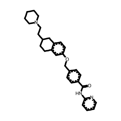 O=C(Nc1ccccn1)c1ccc(COc2ccc3c(c2)CCC(CCN2CCCCC2)C3)cc1